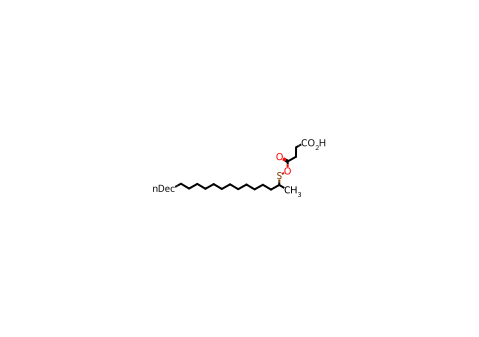 CCCCCCCCCCCCCCCCCCCCCCC(C)SOC(=O)CCC(=O)O